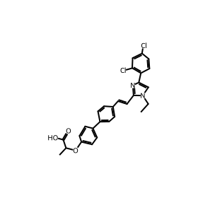 CCn1cc(-c2ccc(Cl)cc2Cl)nc1C=Cc1ccc(-c2ccc(OC(C)C(=O)O)cc2)cc1